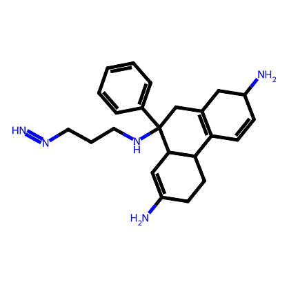 N=NCCCNC1(c2ccccc2)CC2=C(C=CC(N)C2)C2CCC(N)=CC21